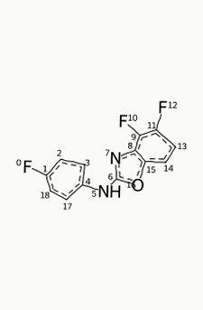 Fc1ccc(Nc2nc3c(F)c(F)ccc3o2)cc1